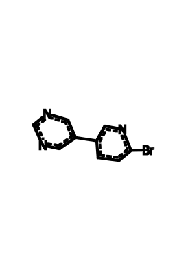 Brc1ccc(-c2cncnc2)cn1